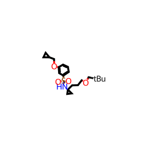 CC(C)(C)COCCCC1(NS(=O)(=O)c2cccc(OCC3CC3)c2)CC1